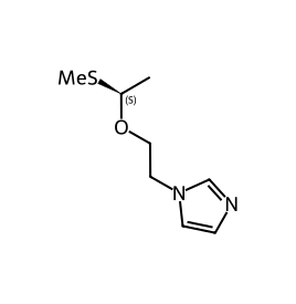 CS[C@@H](C)OCCn1ccnc1